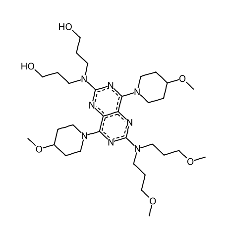 COCCCN(CCCOC)c1nc(N2CCC(OC)CC2)c2nc(N(CCCO)CCCO)nc(N3CCC(OC)CC3)c2n1